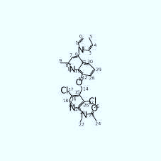 C=CN(/C=C\C)c1cc(C)nc2c(OCc3c(Cl)cnc(N(C)C(C)=O)c3Cl)cccc12